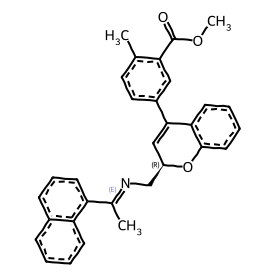 COC(=O)c1cc(C2=C[C@H](C/N=C(\C)c3cccc4ccccc34)Oc3ccccc32)ccc1C